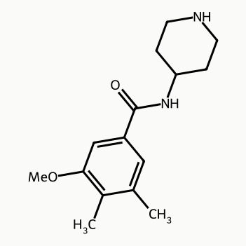 COc1cc(C(=O)NC2CCNCC2)cc(C)c1C